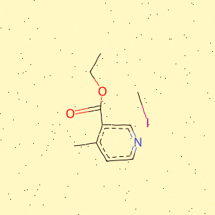 CCOC(=O)c1cnccc1C.CI